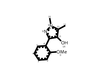 COc1ccccc1-c1nn(C)c(C)c1O